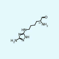 Nc1n[nH]c(NCCCC[C@H](N)[C]=O)n1